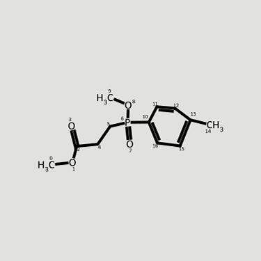 COC(=O)CCP(=O)(OC)c1ccc(C)cc1